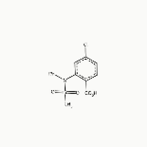 CC(C)N(c1cc(Cl)ccc1C(=O)O)S(C)(=O)=O